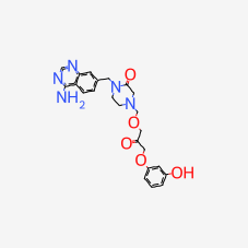 Nc1ncnc2cc(CN3CCN(COCC(=O)COc4cccc(O)c4)CC3=O)ccc12